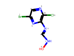 ON/C=N/c1nc(Br)cnc1Cl